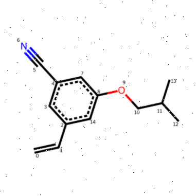 C=[C]c1cc(C#N)cc(OCC(C)C)c1